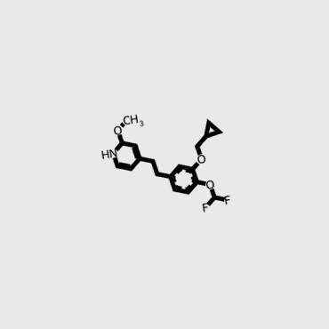 COC1C=C(CCc2ccc(OC(F)F)c(OCC3CC3)c2)C=CN1